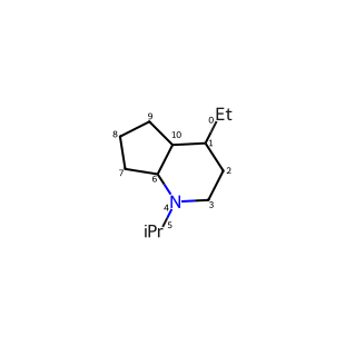 CCC1CCN(C(C)C)C2CCCC12